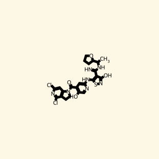 CC(NC(=N)c1c(O)nsc1Nc1cc(C(=O)N2CCc3c2cc(Cl)nc3Cl)c(O)cn1)C1CCCO1